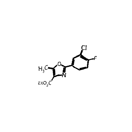 CCOC(=O)c1nc(-c2ccc(F)c(Cl)c2)oc1C